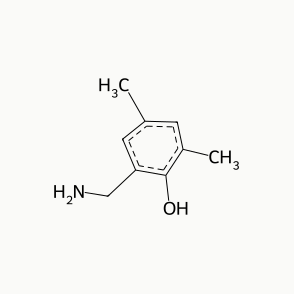 Cc1cc(C)c(O)c(CN)c1